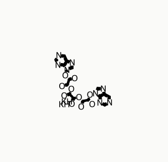 O=C(OC(=O)C(=O)On1cnc2cncnc21)C(=O)OC(=O)C(=O)On1cnc2cncnc21.[KH].[KH]